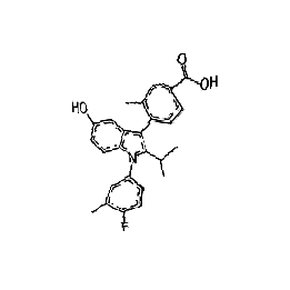 Cc1cc(-n2c(C(C)C)c(-c3ccc(C(=O)O)cc3C)c3cc(O)ccc32)ccc1F